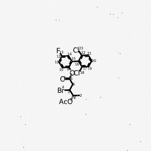 CC(=O)O[C@@H](C)C(Br)CC(=O)Oc1ccc(F)cc1-c1c(Cl)cccc1Cl